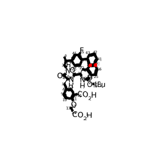 CC(CNC(=O)[C@H](Cc1ccc(OCC(=O)O)c(C(=O)O)c1)NC(=O)[C@H](Cc1ccccc1)NC(=O)OC(C)(C)C)c1ccc(-c2ccccc2)c(F)c1